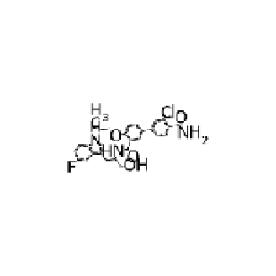 CCCOc1ccc(-c2ccc(C(N)=O)c(Cl)c2)cc1C(=O)NC(CO)Cc1c[nH]c2ccc(F)cc12